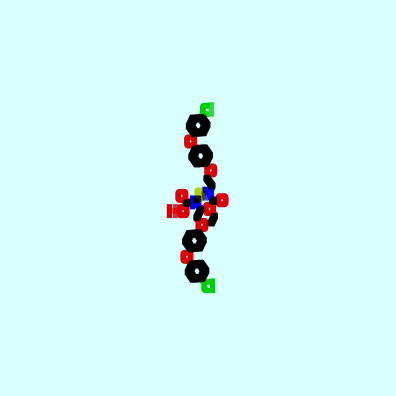 CCOC(=O)N(CCOc1ccc(Oc2ccc(Cl)cc2)cc1)SN(CCOc1ccc(Oc2ccc(Cl)cc2)cc1)C(=O)O